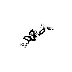 CCOc1ccc(COc2ccn3c4c(cc3c2)C(CC(=O)O)CCC4)cc1OCC